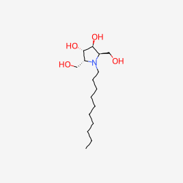 CCCCCCCCCCN1[C@H](CO)[C@H](O)[C@@H](O)[C@H]1CO